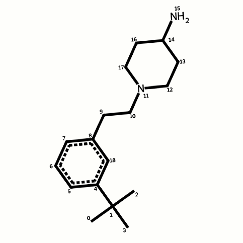 CC(C)(C)c1cccc(CCN2CCC(N)CC2)c1